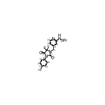 CC(C)Nc1cc(CN2C(=O)N(c3ccc(I)cc3)C(=O)C2(C)C)ccn1